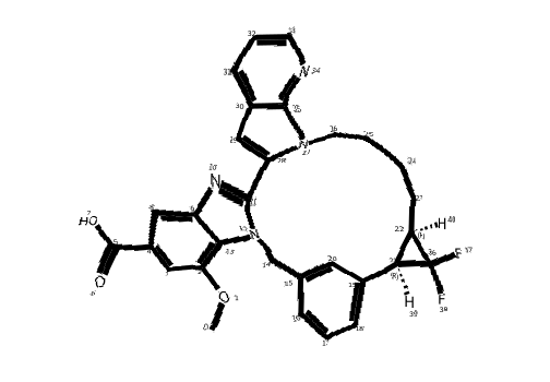 COc1cc(C(=O)O)cc2nc3n(c12)Cc1cccc(c1)[C@H]1[C@@H](CCCCn2c-3cc3cccnc32)C1(F)F